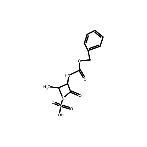 CC1C(NC(=O)OCc2ccccc2)C(=O)N1S(=O)(=O)O